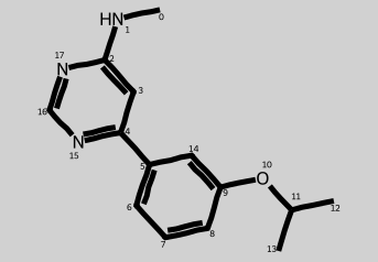 CNc1cc(-c2cccc(OC(C)C)c2)ncn1